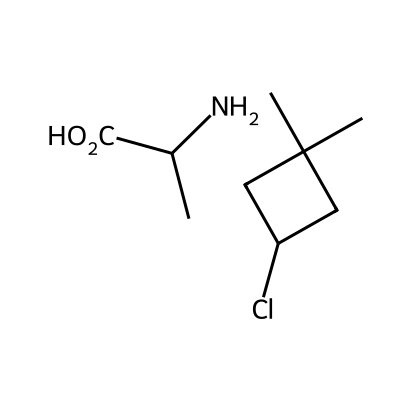 CC(N)C(=O)O.CC1(C)CC(Cl)C1